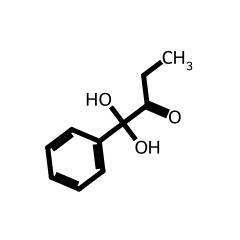 CCC(=O)C(O)(O)c1ccccc1